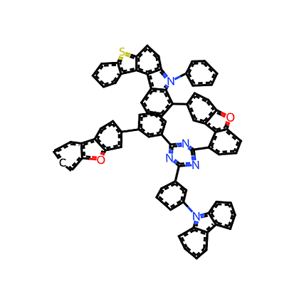 c1ccc(-n2c3ccc4sc5ccccc5c4c3c3cccc(-c4ccc5oc6cccc(-c7nc(-c8cccc(-c9ccc%10c(c9)oc9ccccc9%10)c8)nc(-c8cccc(-n9c%10ccccc%10c%10ccccc%109)c8)n7)c6c5c4)c32)cc1